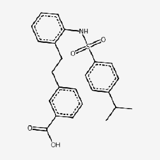 CC(C)c1ccc(S(=O)(=O)Nc2ccccc2CCc2cccc(C(=O)O)c2)cc1